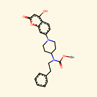 CC(C)(C)OC(=O)N(CCc1ccccc1)C1CCN(c2ccc3c(O)cc(=O)oc3c2)CC1